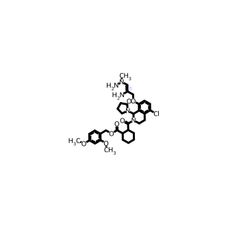 COc1ccc(COC(=O)C2CCCCC2C(=O)N2CCc3c(Cl)ccc(OC/C(N)=C/N(C)N)c3C2N2CCCC2=O)c(OC)c1